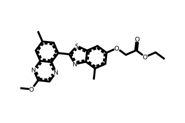 CCOC(=O)COc1cc(C)c2nc(-c3cc(C)cc4nc(OC)cnc34)sc2c1